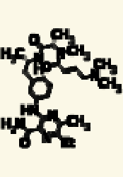 CCc1nc(C(N)=O)c(Nc2cccc(C[C@H](C)NC(=O)[C@H](C)N(C)C(=O)/C=C/CN(C)C)c2)nc1C